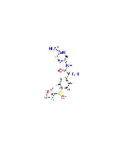 N=C(C(=O)Nc1cnc(N)cn1)c1ccc([S+]([O-])[C@H]2CCOC2)cc1